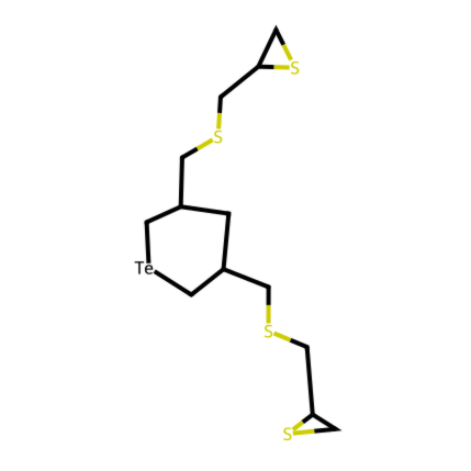 C(SCC1CS1)C1C[Te]CC(CSCC2CS2)C1